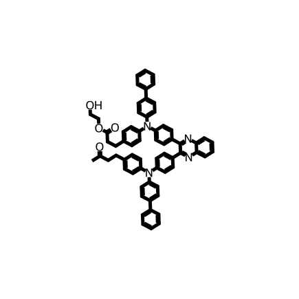 CC(=O)CCc1ccc(N(c2ccc(-c3ccccc3)cc2)c2ccc(-c3nc4ccccc4nc3-c3ccc(N(c4ccc(CCC(=O)OCCO)cc4)c4ccc(-c5ccccc5)cc4)cc3)cc2)cc1